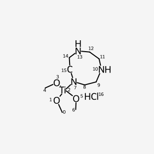 C[O][Ti]([O]C)([O]C)[N]1CCNCCNCC1.Cl